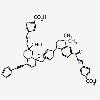 CC1(C)CC=C(c2ccc(CC3(C)CC=C(C#Cc4ccccc4)C4CCC(C=O)(C/C=C/c5ccc(C(=O)O)cc5)CC43)cc2)c2ccc(C(=O)/C=C/c3ccc(C(=O)O)cc3)cc21